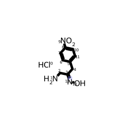 Cl.NC/C(Cc1ccc([N+](=O)[O-])cc1)=N/O